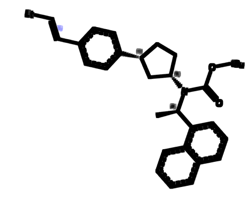 CC/C=C/c1ccc([C@@H]2CC[C@H](N(C(=O)OC(C)(C)C)[C@H](C)c3cccc4ccccc34)C2)cc1